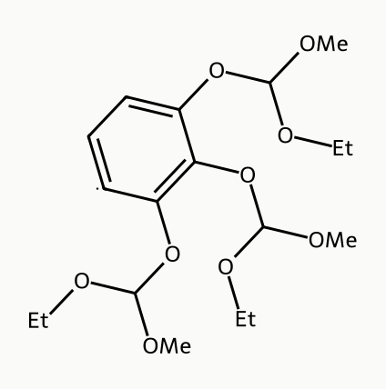 CCOC(OC)Oc1[c]ccc(OC(OC)OCC)c1OC(OC)OCC